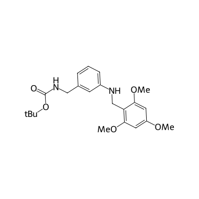 COc1cc(OC)c(CNc2cccc(CNC(=O)OC(C)(C)C)c2)c(OC)c1